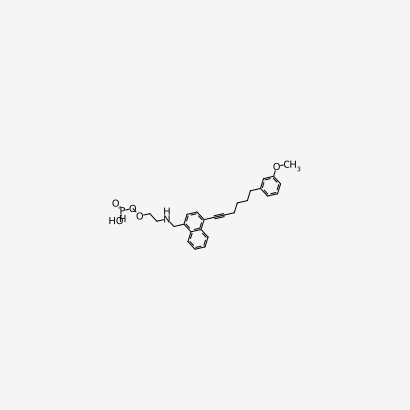 COc1cccc(CCCCC#Cc2ccc(CNCCOO[PH](=O)O)c3ccccc23)c1